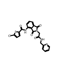 O=C(CN1C(=O)c2cccc(NC(=O)c3ccc(Cl)s3)c2C1=O)NCc1ccccn1